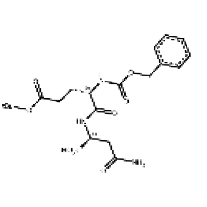 CC(C)(C)OC(=O)CC[C@H](NC(=O)OCc1ccccc1)C(=O)N[C@@H](CC(N)=O)C(=O)O